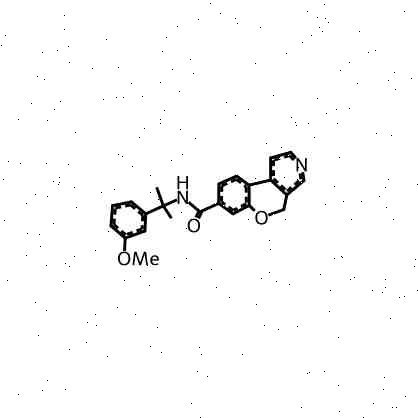 COc1cccc(C(C)(C)NC(=O)c2ccc3c(c2)OCc2cnccc2-3)c1